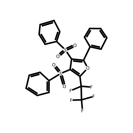 O=S(=O)(c1ccccc1)c1c(-c2ccccc2)oc(C(F)(F)C(F)(F)F)c1S(=O)(=O)c1ccccc1